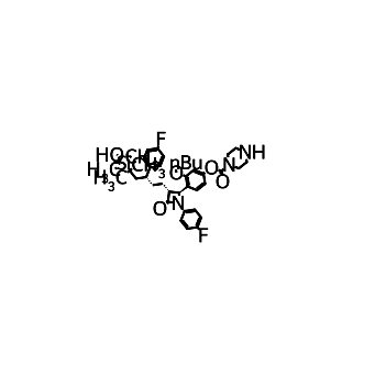 CCCCOc1cc(OC(=O)N2CCNCC2)ccc1[C@@H]1[C@@H](CC[C@H](CC(C)(C)[Si](C)(C)O)c2ccc(F)cc2)C(=O)N1c1ccc(F)cc1